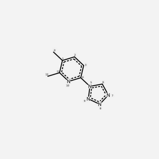 Cc1ccc(-n2cnnn2)nc1C